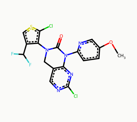 COc1ccc(N2C(=O)N(c3c(C(F)F)csc3Cl)Cc3cnc(Cl)nc32)nc1